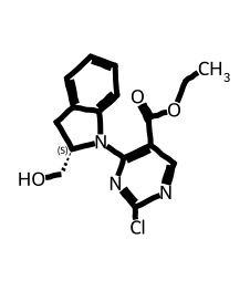 CCOC(=O)c1cnc(Cl)nc1N1c2ccccc2C[C@H]1CO